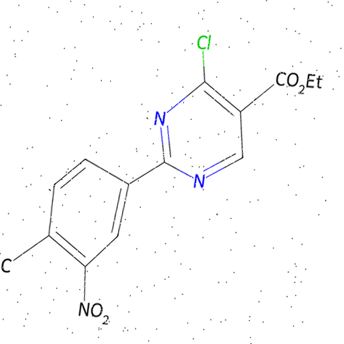 CCOC(=O)c1cnc(-c2ccc(C)c([N+](=O)[O-])c2)nc1Cl